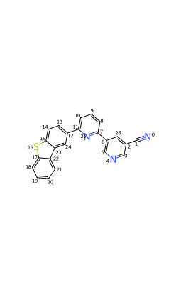 N#Cc1cncc(-c2cccc(-c3ccc4sc5ccccc5c4c3)n2)c1